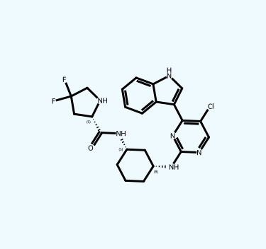 O=C(N[C@H]1CCC[C@@H](Nc2ncc(Cl)c(-c3c[nH]c4ccccc34)n2)C1)[C@@H]1CC(F)(F)CN1